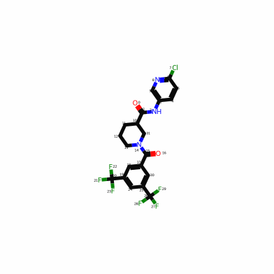 O=C(Nc1ccc(Cl)nc1)C1CCCN(C(=O)c2cc(C(F)(F)F)cc(C(F)(F)F)c2)C1